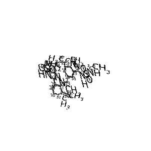 CCNS(=O)(=O)Nc1nn(C)c2c(C(C)(C)C)cc(Cn3nc(NS(N)(=O)=O)c4cccc(C(C)(C)C)c43)cc12